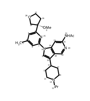 CO[C@@]1(c2cc(C)cc(-n3cc(C4CCN(C(C)C)CC4)c4cnc(NC(C)=O)cc43)n2)CCOC1